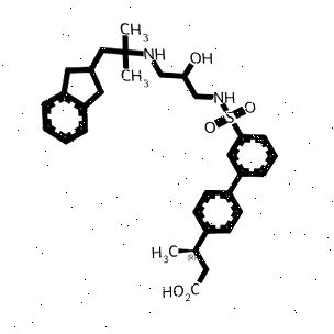 C[C@H](CC(=O)O)c1ccc(-c2cccc(S(=O)(=O)NCC(O)CNC(C)(C)CC3Cc4ccccc4C3)c2)cc1